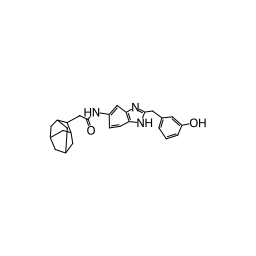 O=C(CC1C2CC3CC(C2)CC1C3)Nc1ccc2[nH]c(Cc3cccc(O)c3)nc2c1